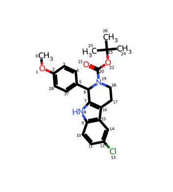 COc1ccc(C2c3[nH]c4ccc(Cl)cc4c3CCN2C(=O)OC(C)(C)C)cc1